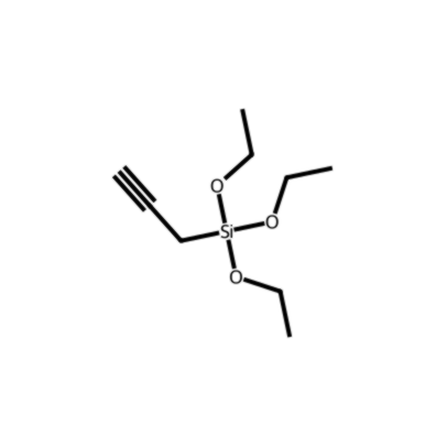 C#CC[Si](OCC)(OCC)OCC